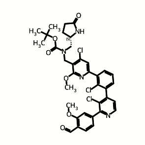 COc1cc(-c2nccc(-c3cccc(-c4cc(Cl)c(CN(C[C@@H]5CCC(=O)N5)C(=O)OC(C)(C)C)c(OC)n4)c3Cl)c2Cl)ccc1C=O